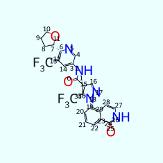 O=C(Nc1cnc([C@@H]2CCCO2)c(C(F)(F)F)c1)c1cnn(-c2cccc3c(=O)[nH]ccc23)c1C(F)(F)F